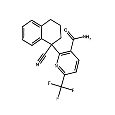 N#CC1(c2nc(C(F)(F)F)ccc2C(N)=O)CCCc2ccccc21